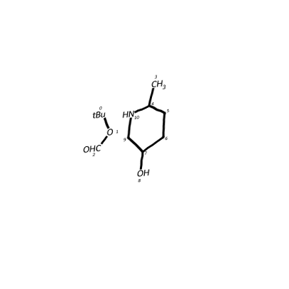 CC(C)(C)OC=O.CC1CCC(O)CN1